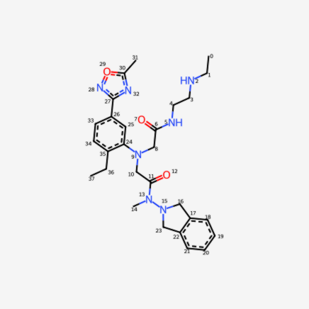 CCNCCNC(=O)CN(CC(=O)N(C)N1Cc2ccccc2C1)c1cc(-c2noc(C)n2)ccc1CC